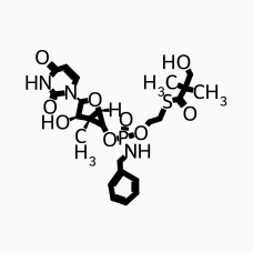 CC(C)(CO)C(=O)SCCO[P@@](=O)(NCc1ccccc1)OC1[C@H]2O[C@@H](n3ccc(=O)[nH]c3=O)[C@H](O)[C@@]12C